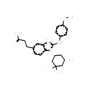 C[C@H]1C[C@@H](n2c(Nc3ccc(OC(F)(F)F)cc3)nc3cc(CCC(N)=O)ccc32)CC(C)(C)C1